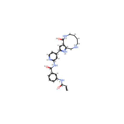 C=CC(=O)Nc1cccc(C(=O)Nc2cc(-c3cc4c([nH]3)CNCCCCNC4=O)ccn2)c1